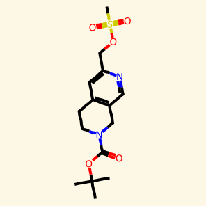 CC(C)(C)OC(=O)N1CCc2cc(COS(C)(=O)=O)ncc2C1